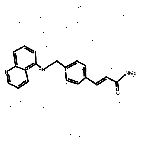 CNC(=O)/C=C/c1ccc(CNc2cccc3ncccc23)cc1